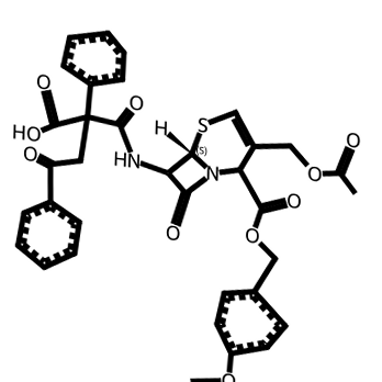 COc1ccc(COC(=O)C2C(COC(C)=O)=CS[C@H]3C(NC(=O)C(CC(=O)c4ccccc4)(C(=O)O)c4ccccc4)C(=O)N23)cc1